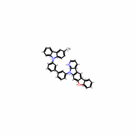 N#Cc1ccc2c(c1)c1ccccc1n2-c1cccc(-c2cccc(-n3c4cc5oc6ccccc6c5cc4c4cccnc43)c2)c1